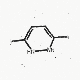 IC1=CC=C(I)NN1